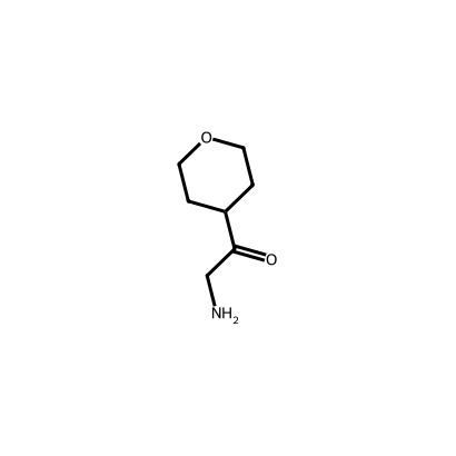 NCC(=O)C1CCOCC1